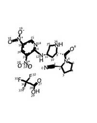 N#C[C@@H]1CCCN1C(=O)[C@@H]1C[C@H](Nc2ncc([N+](=O)[O-])cc2[N+](=O)[O-])CN1.O=C(O)C(F)(F)F